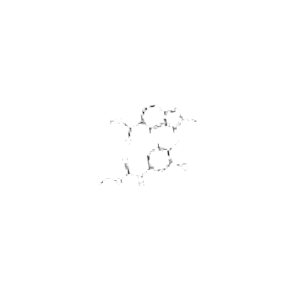 CCOC(=O)Nc1cnc(Cn2c(C)nc3ccc(C(=O)O)nc32)c(Cl)c1